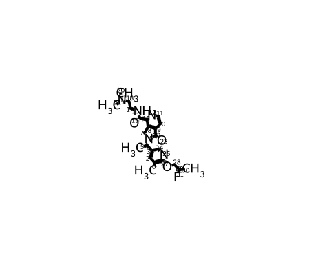 Cc1cc(C(C)N2Cc3c(ccnc3C(=O)NCCN(C)C)C2=O)cnc1OC[C@@H](C)F